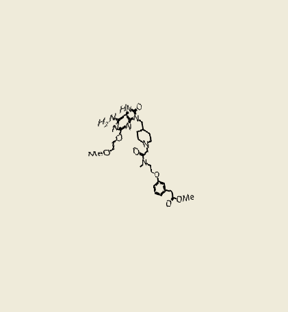 COCCOc1nc(N)c2[nH]c(=O)n(CC3CCN(CC(=O)N(C)CCOc4cccc(CC(=O)OC)c4)CC3)c2n1